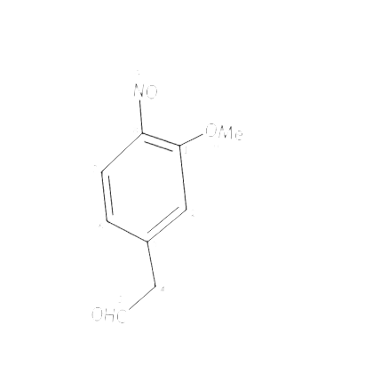 COc1cc(CC=O)ccc1N=O